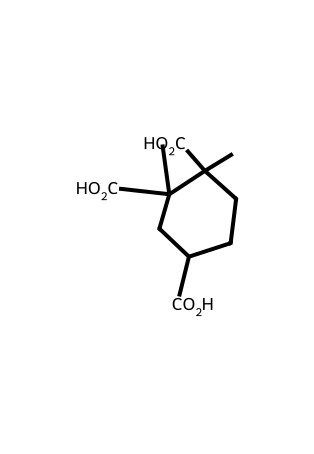 CC1(C(=O)O)CCC(C(=O)O)CC1(C)C(=O)O